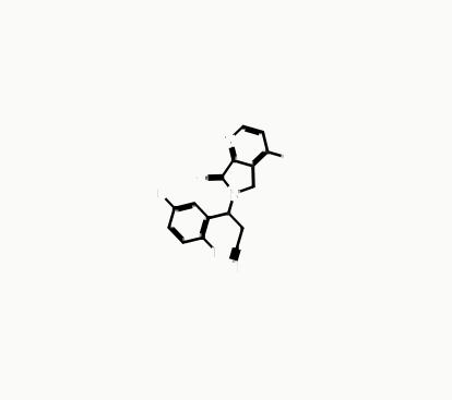 C#CCC(c1cc(F)ccc1F)N1Cc2c(Cl)ccnc2C1=O